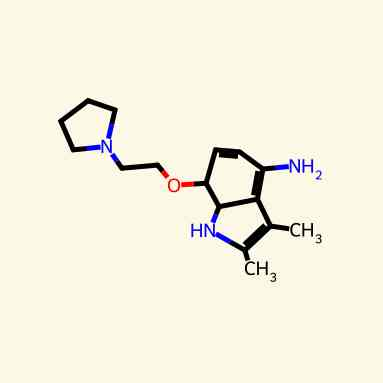 CC1=C(C)C2=C(N)C=CC(OCCN3CCCC3)C2N1